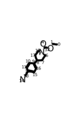 CCOC(=O)N1CCC(c2ccc(C#N)cc2)CC1